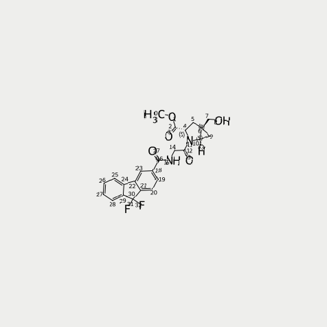 COC(=O)[C@@H]1C[C@]2(CO)C[C@@H]2N1C(=O)CNC(=O)c1ccc2c(c1)-c1ccccc1C2(F)F